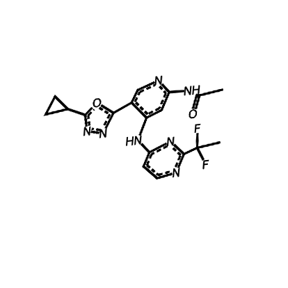 CC(=O)Nc1cc(Nc2ccnc(C(C)(F)F)n2)c(-c2nnc(C3CC3)o2)cn1